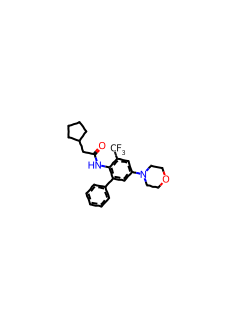 O=C(CC1CCCC1)Nc1c(-c2ccccc2)cc(N2CCOCC2)cc1C(F)(F)F